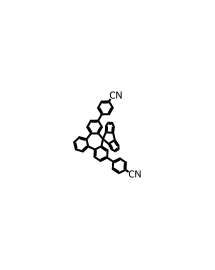 N#Cc1ccc(-c2ccc3c(c2)C2(c4cc(-c5ccc(C#N)cc5)ccc4-c4ccccc4-3)c3ccccc3-c3ccccc32)cc1